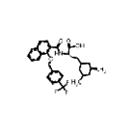 C=C1CC(C)CC(CC[C@H](NC(=O)c2ccc3ccccc3c2OCc2ccc(C(F)(F)F)cc2)C(=O)O)C1